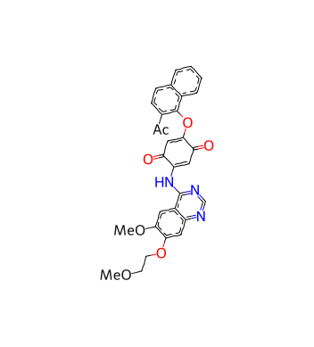 COCCOc1cc2ncnc(NC3=CC(=O)C(Oc4c(C(C)=O)ccc5ccccc45)=CC3=O)c2cc1OC